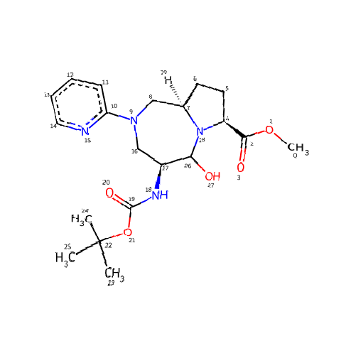 COC(=O)[C@@H]1CC[C@@H]2CN(c3ccccn3)C[C@H](NC(=O)OC(C)(C)C)C(O)N21